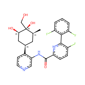 C[C@H]1C[C@@H](c2ccncc2NC(=O)c2ccc(F)c(-c3c(F)cccc3F)n2)C[C@@H](O)[C@]1(O)CO